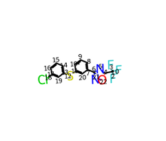 FC(F)(F)c1nc(-c2cc[c]c(Sc3cccc(Cl)c3)c2)no1